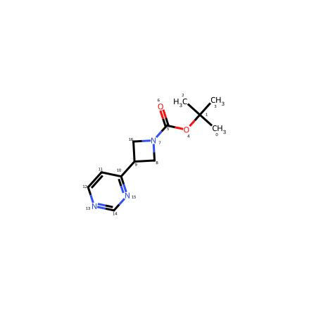 CC(C)(C)OC(=O)N1CC(c2ccncn2)C1